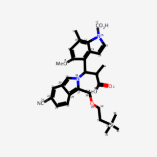 COC(=O)C(C)C(c1c(OC)cc(C)c2c1ccn2C(=O)O)n1cc2cc(C#N)ccc2c1COCC[Si](C)(C)C